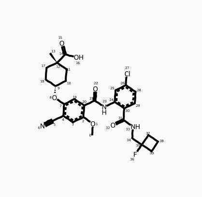 COc1cc(C#N)c(O[C@H]2CC[C@@](C)(C(=O)O)CC2)cc1C(=O)Nc1cc(Cl)ccc1C(=O)NCC1(F)CCC1